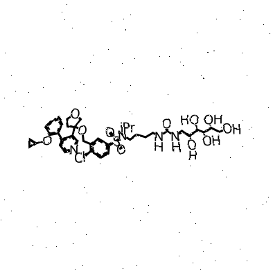 CC(C)N(CCCCNC(=O)NC[C@H](O)[C@@H](O)[C@H](O)[C@H](O)CO)S(=O)(=O)c1ccc(Cl)c(COC2(c3cnccc3-c3ccccc3OC3CC3)CCOC2)c1